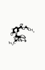 C=C1NC(=O)C(n2cc(C(=O)OCC)ccc2=O)S1